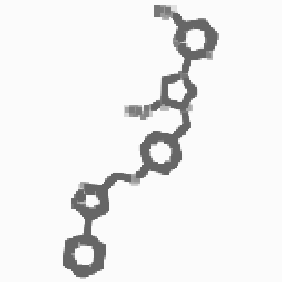 Cc1ccnc(N2C[C@@H](Cc3ccc(OCc4cc(-c5ccccc5)no4)cc3)[C@@H](C(=O)O)C2)n1